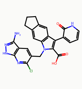 Nc1n[nH]c2nc(Cl)c(Cn3c(C(=O)O)c(-c4ccc[nH]c4=O)c4cc5c(cc43)CCC5)cc12